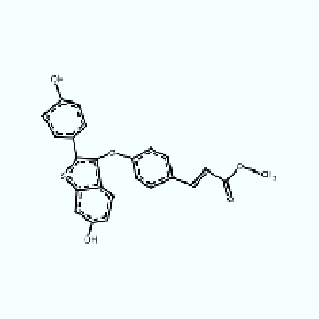 COC(=O)C=Cc1ccc(Oc2c(-c3ccc(O)cc3)sc3cc(O)ccc23)cc1